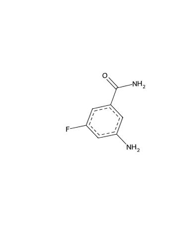 NC(=O)c1cc(N)cc(F)c1